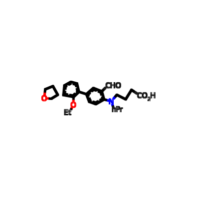 C1CCOC1.CCCN(CCCC(=O)O)c1ccc(-c2ccccc2OCC)cc1C=O